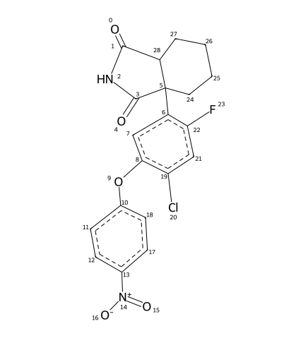 O=C1NC(=O)C2(c3cc(Oc4ccc([N+](=O)[O-])cc4)c(Cl)cc3F)CCCCC12